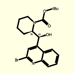 CC(C)(C)OC(=O)N1CCCC[C@@H]1[C@@H](O)c1cc(Br)nc2ccccc12